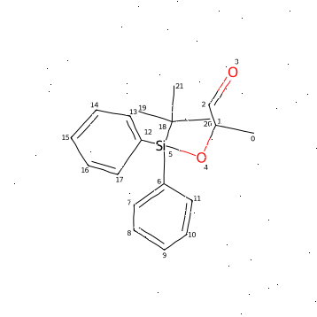 CC(C=O)O[Si](c1ccccc1)(c1ccccc1)C(C)(C)C